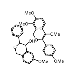 COC1=C(c2ccc(OC)cc2)OCc2c1ccc(OC)c2OC.COc1ccc2c(c1)C(O)C(c1ccccc1)OC2